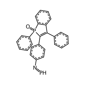 O=P1(c2ccccc2)C(c2ccc(N=P)cc2)=C(c2ccccc2)c2ccccc21